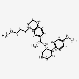 COCCCN1CCOc2ccc([C@@H](C)O[C@H]3CNCC[C@@H]3c3ccc(OC)cc3)cc21